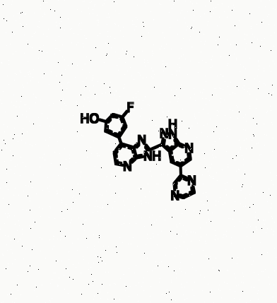 Oc1cc(F)cc(-c2ccnc3[nH]c(-c4n[nH]c5ncc(-c6cnccn6)cc45)nc23)c1